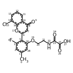 Cc1cc(F)c(-c2cc(=O)c3cccc(Cl)c3o2)c(OCCNC(=O)C(=O)O)c1